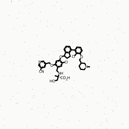 CN1CCCC(COc2cccc(-c3cccc4c3CCC4Oc3cc(OCc4cncc(C#N)c4)c(CN[C@](C)(CO)C(=O)O)cc3Cl)c2Cl)C1